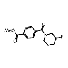 COC(=O)c1ccc(C(=O)N2CCCC(F)C2)cc1